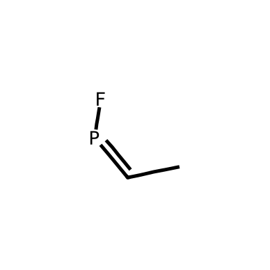 C/C=P\F